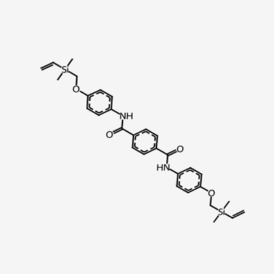 C=C[Si](C)(C)COc1ccc(NC(=O)c2ccc(C(=O)Nc3ccc(OC[Si](C)(C)C=C)cc3)cc2)cc1